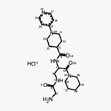 Cl.NCC(=O)NCC(NC(=O)C1CCN(c2ccncc2)CC1)C(=O)N1CCCCC1